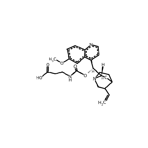 C=CC1CN2CCC1C[C@H]2[C@H](OC(=O)NCCC(=O)O)c1ccnc2ccc(OC)cc12